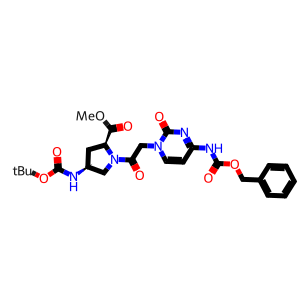 COC(=O)[C@@H]1C[C@H](NC(=O)OC(C)(C)C)CN1C(=O)Cn1ccc(NC(=O)OCc2ccccc2)nc1=O